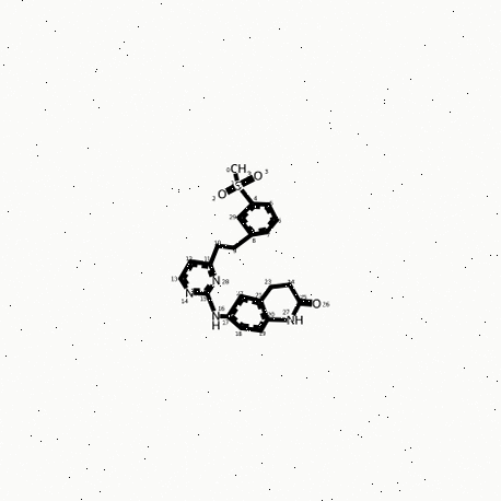 CS(=O)(=O)c1cccc(CCc2ccnc(Nc3ccc4c(c3)CCC(=O)N4)n2)c1